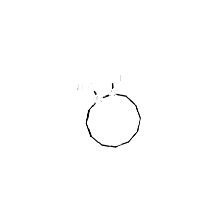 CN1CCCCCCCCCCN1C